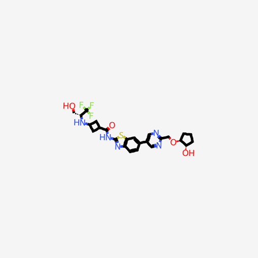 O=C(Nc1nc2ccc(-c3cnc(CO[C@H]4CCC[C@@H]4O)nc3)cc2s1)C1CC(N[C@H](CO)C(F)(F)F)C1